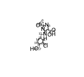 C[S+]([O-])c1ncc(C(=O)O)c(NCc2ccc(CO)c(Cl)c2)n1